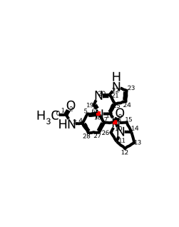 CC(=O)Nc1ccc(C(=O)N2C3CCC2CN(c2ncnc4[nH]ccc24)C3)cc1